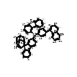 c1ccc2c(c1)-c1ccc(N(c3ccc(-c4cccc5ccccc45)cc3)c3cccc4sc5ccccc5c34)cc1C21C2CC3CC(C2)CC1C3